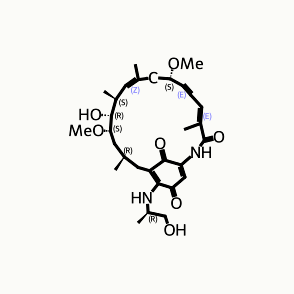 CO[C@H]1C[C@H](C)CC2=C(N[C@H](C)CO)C(=O)C=C(NC(=O)/C(C)=C/C=C/[C@@H](OC)[CH]/C(C)=C\[C@H](C)[C@H]1O)C2=O